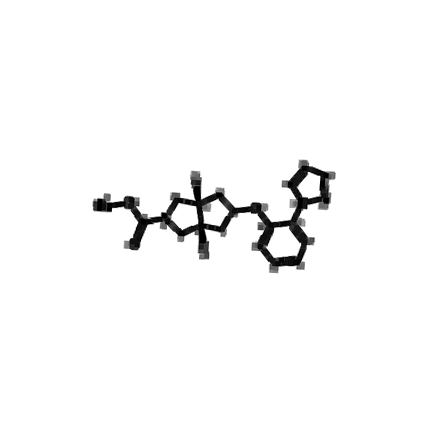 CC(C)(C)OC(=O)N1C[C@H]2CC(Oc3ccccc3-n3cccn3)C[C@H]2C1